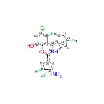 N[C@H]1C[C@H](C(=O)N[C@H](c2cc(O)cc(Cl)c2F)C23CCC(F)(CC2)C3)CC1(F)F